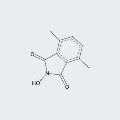 Cc1ccc(C)c2c1C(=O)N(O)C2=O